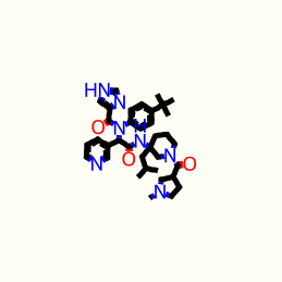 CC(C)CC1(NC(=O)C(c2cccnc2)N(C(=O)c2c[nH]cn2)c2ccc(C(C)(C)C)cc2)CCCN(C(=O)C2CCN(C)C2)C1